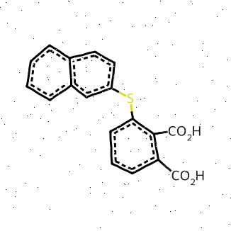 O=C(O)c1cccc(Sc2ccc3ccccc3c2)c1C(=O)O